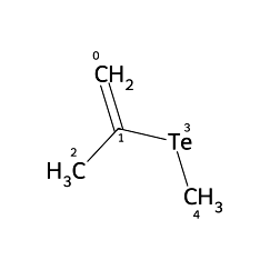 C=C(C)[Te]C